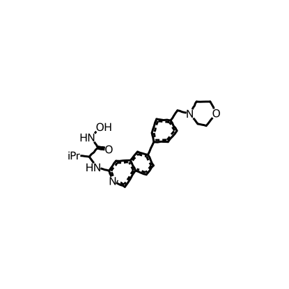 CC(C)C(Nc1cc2cc(-c3ccc(CN4CCOCC4)cc3)ccc2cn1)C(=O)NO